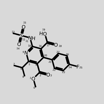 COC(=O)c1c(C(C)C)nc(NS(C)(=O)=O)c(C(=O)O)c1-c1ccc(F)cc1